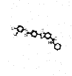 O=C(Nc1ccc(Cl)c(Cl)c1)c1ccc(-c2nc3cc(C(=O)NC4CCCCC4)ccc3[nH]2)cc1